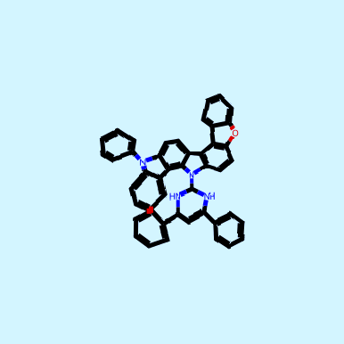 C1=C(c2ccccc2)NC(n2c3ccc4oc5ccccc5c4c3c3ccc4c(c5ccccc5n4-c4ccccc4)c32)NC1c1ccccc1